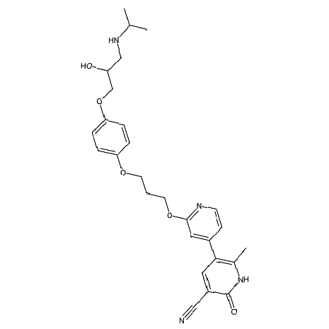 Cc1[nH]c(=O)c(C#N)cc1-c1ccnc(OCCCOc2ccc(OCC(O)CNC(C)C)cc2)c1